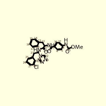 COC(=O)Nc1ccc(C(=O)NC(Cc2ccccc2)C(=O)NC(Cc2cccc(Cl)c2)n2cnnn2)cc1